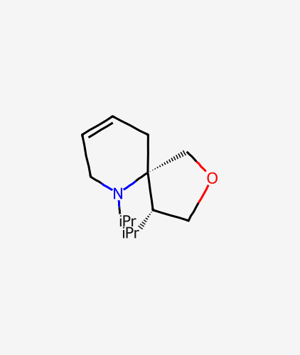 CC(C)[C@H]1COC[C@]12CC=CCN2C(C)C